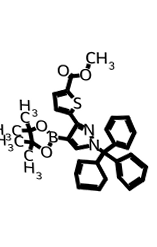 COC(=O)c1ccc(-c2nn(C(c3ccccc3)(c3ccccc3)C3C=CC=CC3)cc2B2OC(C)(C)C(C)(C)O2)s1